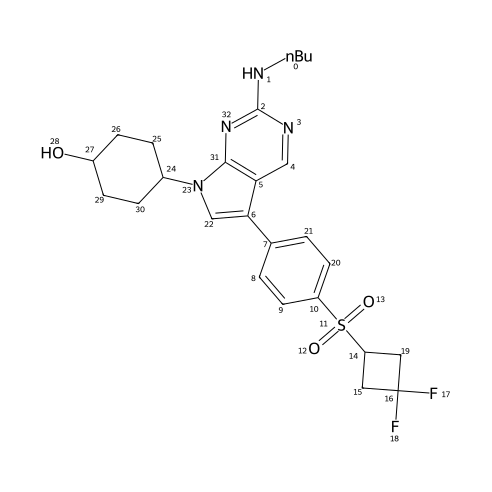 CCCCNc1ncc2c(-c3ccc(S(=O)(=O)C4CC(F)(F)C4)cc3)cn(C3CCC(O)CC3)c2n1